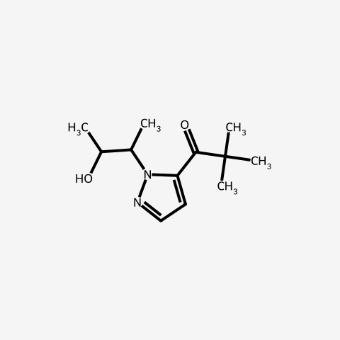 CC(O)C(C)n1nccc1C(=O)C(C)(C)C